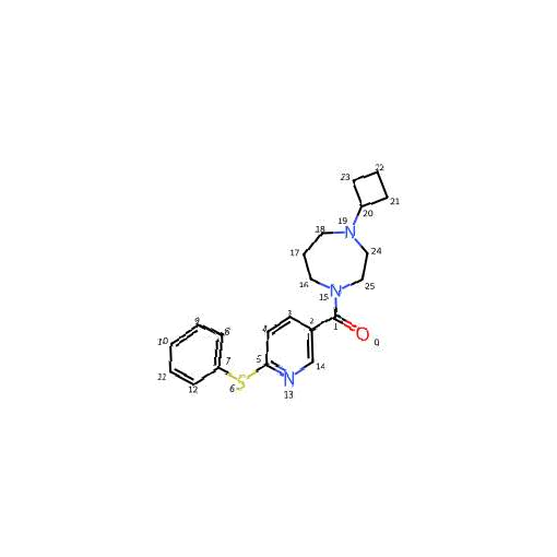 O=C(c1ccc(Sc2ccccc2)nc1)N1CCCN(C2CCC2)CC1